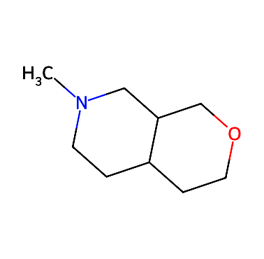 CN1CCC2CCOCC2C1